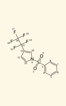 O=S(=O)(c1ccccc1)n1ccc(C(F)(F)C(F)(F)F)c1